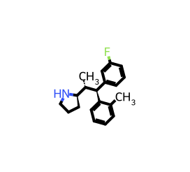 Cc1ccccc1[C@H](c1cccc(F)c1)[C@@H](C)[C@H]1CCCN1